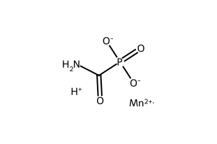 NC(=O)P(=O)([O-])[O-].[H+].[Mn+2]